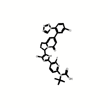 CC(C)(C)N(C(=O)O)c1ccc(-c2nc(Cl)c(C3CCc4cc(-c5cc(Cl)ccc5-n5cnnn5)cc(=O)n43)[nH]2)c(F)n1